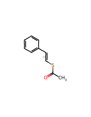 CC(=O)S/C=C/c1ccccc1